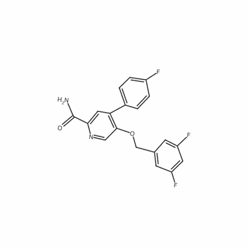 NC(=O)c1cc(-c2ccc(F)cc2)c(OCc2cc(F)cc(F)c2)cn1